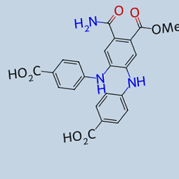 COC(=O)c1cc(Nc2ccc(C(=O)O)cc2)c(Nc2ccc(C(=O)O)cc2)cc1C(N)=O